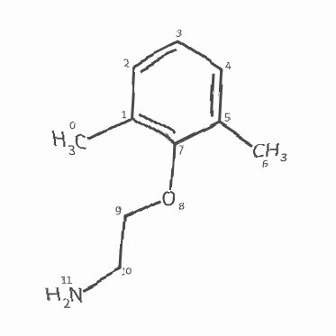 Cc1cccc(C)c1OCCN